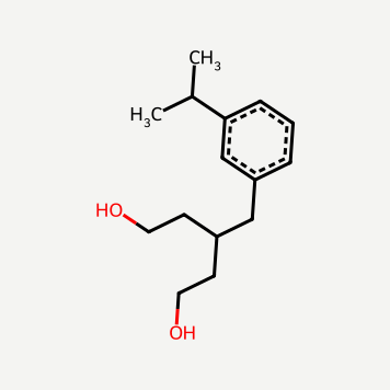 CC(C)c1cccc(CC(CCO)CCO)c1